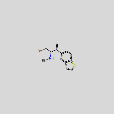 C=C(c1ccc2sccc2c1)C(CBr)NCC